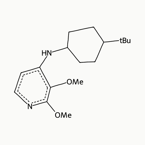 COc1nccc(NC2CCC(C(C)(C)C)CC2)c1OC